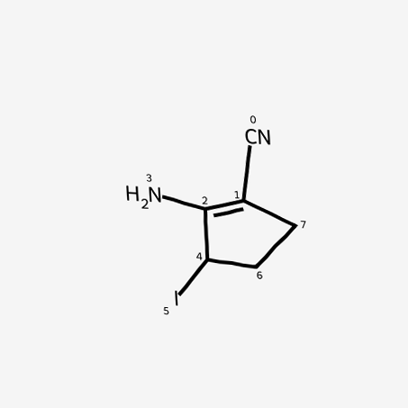 N#CC1=C(N)C(I)CC1